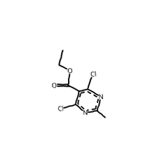 CCOC(=O)c1c(Cl)nc(C)nc1Cl